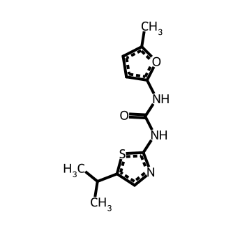 Cc1ccc(NC(=O)Nc2ncc(C(C)C)s2)o1